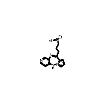 CCN(CC)CCCC1=Nc2cnccc2N(C)n2cccc21